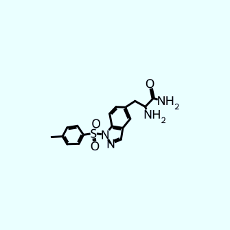 Cc1ccc(S(=O)(=O)n2ncc3cc(CC(N)C(N)=O)ccc32)cc1